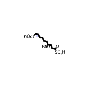 CCCCCCCC/C=C\CCCCCCCC(=O)S(=O)(=O)O.[NaH]